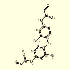 C=CC(=O)Oc1ccc(Sc2ccc(OC(=O)C=C)cc2Br)c(Br)c1